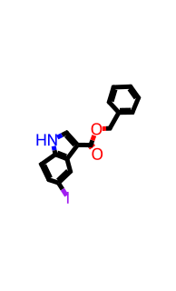 O=C(OCc1ccccc1)c1c[nH]c2ccc(I)cc12